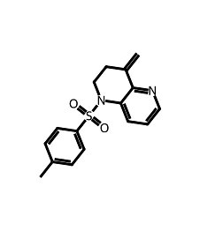 C=C1CCN(S(=O)(=O)c2ccc(C)cc2)c2cccnc21